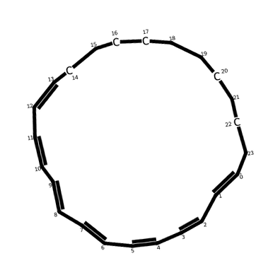 [C]1=C/C=C/C=C\C=C\C=C\C=C\C=C/CCCCCCCCCC/1